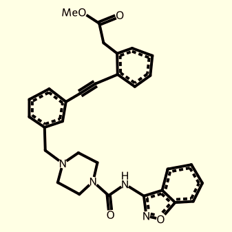 COC(=O)Cc1ccccc1C#Cc1cccc(CN2CCN(C(=O)Nc3noc4ccccc34)CC2)c1